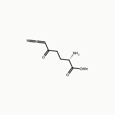 COC(=O)[C@@H](N)CCC(=O)C=[N+]=[N-]